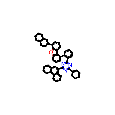 C1=CCCC(c2nc(-c3ccccc3-c3cccc4oc5c(-c6ccc7ccccc7c6)cccc5c34)nc(-c3cc4ccccc4c4ccccc34)n2)=C1